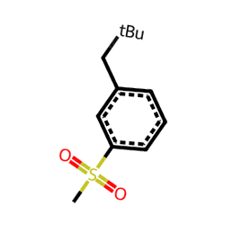 CC(C)(C)Cc1cccc(S(C)(=O)=O)c1